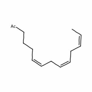 C/C=C\C/C=C\C/C=C\CCCC(C)=O